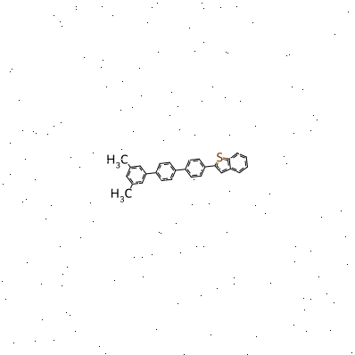 Cc1cc(C)cc(-c2ccc(-c3ccc(-c4cc5ccccc5s4)cc3)cc2)c1